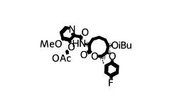 COc1ccnc(C(=O)N[C@H]2CCC[C@H](OCC(C)C)[C@@H](Oc3ccc(F)cc3)[C@H](C)OC2=O)c1OCOC(C)=O